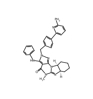 CN1C(=O)c2c(nn(Cc3ccc(-c4cccc(P)n4)cc3)c2Nc2ccccc2)N2C1=N[C@@H]1CCCC[C@@H]12